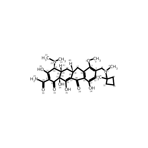 COc1c(CN(C)C2(C)CCC2)cc(O)c2c1C[C@H]1C[C@H]3[C@H](N(C)C)C(O)=C(C(N)=O)C(=O)[C@@]3(O)C(O)=C1C2=O